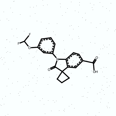 O=C(O)c1ccc2c(c1)C1(CCC1)C(=O)N2c1cccc(OC(F)F)c1